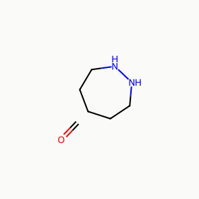 C1CCNNCC1.C=O